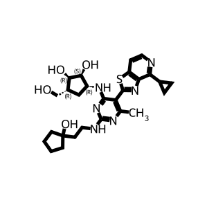 Cc1nc(NCCC2(O)CCCC2)nc(N[C@@H]2C[C@H](CO)[C@@H](O)[C@H]2O)c1-c1nc2c(C3CC3)nccc2s1